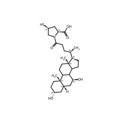 C[C@H](CCC(=O)N1C[C@@H](S)C[C@H]1C(=O)O)[C@H]1CCC2C3C(CC[C@@]21C)[C@@]1(C)CC[C@@H](O)C[C@H]1C[C@@H]3O